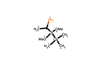 CO[Si](OC)(C(C)P)[Si](C)(C)C